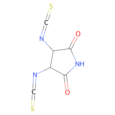 O=C1NC(=O)C(N=C=S)C1N=C=S